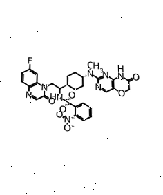 CN(c1ncc2c(n1)NC(=O)CO2)[C@H]1CC[C@H](C(Cn2c(=O)cnc3ccc(F)cc32)NS(=O)(=O)c2ccccc2[N+](=O)[O-])CC1